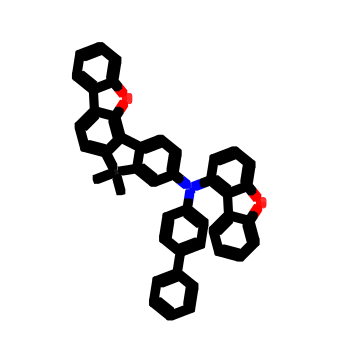 C[Si]1(C)c2cc(N(c3ccc(-c4ccccc4)cc3)c3cccc4oc5ccccc5c34)ccc2-c2c1ccc1c2oc2ccccc21